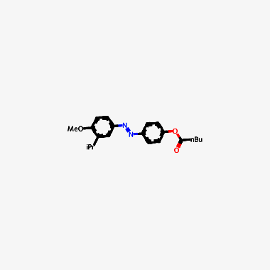 CCCCC(=O)Oc1ccc(N=Nc2ccc(OC)c(C(C)C)c2)cc1